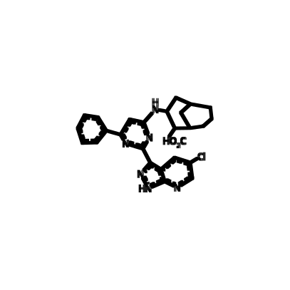 O=C(O)C1C2CCCC(C2)CC1Nc1cc(-c2ccccc2)nc(-c2n[nH]c3ncc(Cl)cc23)n1